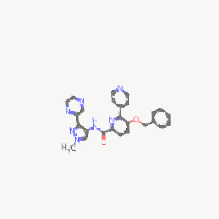 Cn1cc(NC(=O)c2ccc(OCc3ccccc3)c(-c3ccncc3)n2)c(-c2cnccn2)n1